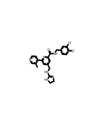 Cc1cnccc1-c1cc(CNC2=NCCN2)cc(C(=O)NCc2ccc(Cl)c(Cl)c2)n1